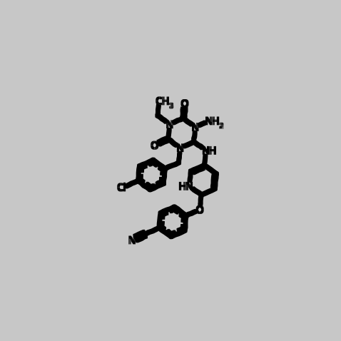 CCN1C(=O)N(N)C(NC2=CNC(Oc3ccc(C#N)cc3)C=C2)N(Cc2ccc(Cl)cc2)C1=O